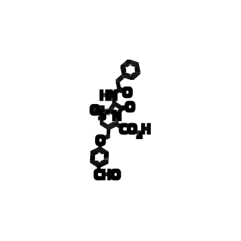 O=Cc1ccc(OCC2=C(C(=O)O)N3C(=O)C(NC(=O)Cc4ccccc4)C3[S+]([O-])C2)cc1